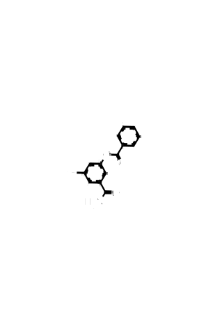 NC(=O)c1cc(F)cc(OC(=O)c2ccccc2)c1